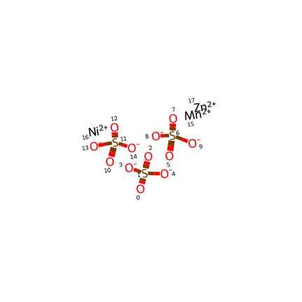 O=S(=O)([O-])[O-].O=S(=O)([O-])[O-].O=S(=O)([O-])[O-].[Mn+2].[Ni+2].[Zn+2]